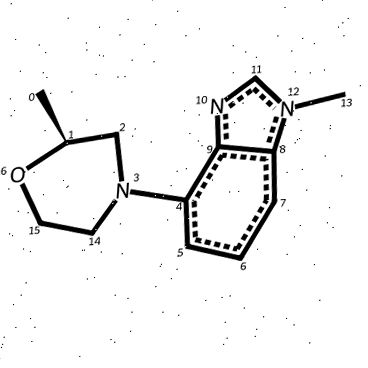 C[C@H]1CN(c2cccc3c2ncn3C)CCO1